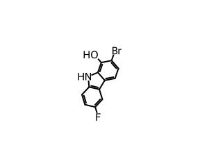 Oc1c(Br)ccc2c1[nH]c1ccc(F)cc12